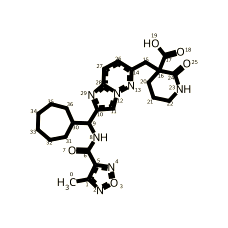 Cc1nonc1C(=O)NC(c1cn2nc(CC3(C(=O)O)CCCNC3=O)ccc2n1)C1CCCCCC1